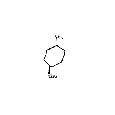 CC(C)(C)[C@H]1CC[C@H](C(F)(F)F)CC1